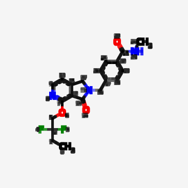 CCC(F)(F)COc1nccc2c1C(=O)N(Cc1ccc(C(=O)NC)cc1)C2